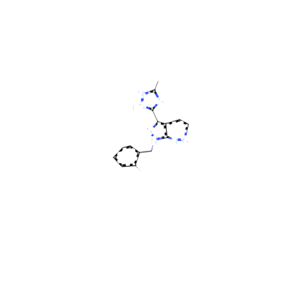 Cc1n[nH]c(-c2nn(Cc3ccccc3F)c3nnccc23)n1